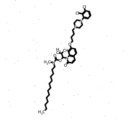 CCCCCCCCCCCCCCN(C)C(=O)OC(C(C)C)n1c(=O)ccc2ccc(OCCCCN3CCN(c4cccc(Cl)c4Cl)CC3)cc21